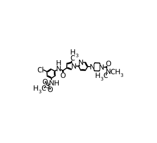 Cc1cc(C(=O)Nc2cc(Cl)cc(NS(C)(=O)=O)c2)cn1-c1ccc(N2CCN(C(=O)N(C)C)CC2)cn1